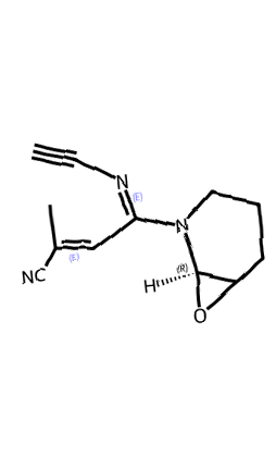 C#C/N=C(\C=C(/C)C#N)N1CCCC2O[C@H]21